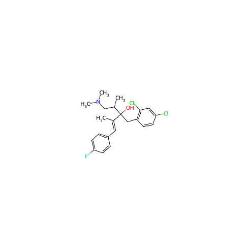 CC(=Cc1ccc(F)cc1)C(O)(Cc1ccc(Cl)cc1Cl)C(C)CN(C)C